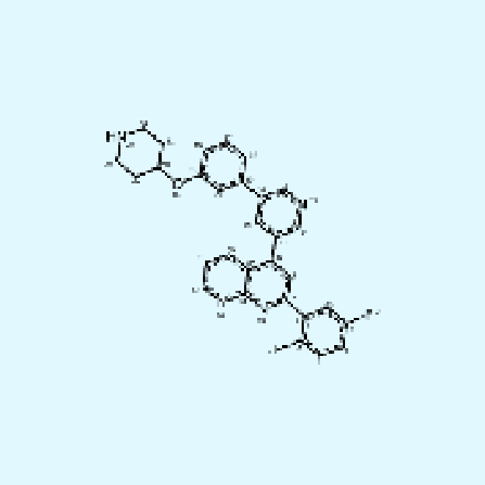 Fc1ccc(F)c(-c2cc(-c3cncc(-c4cccc(OC5CCNCC5)c4)c3)c3cccnc3n2)c1